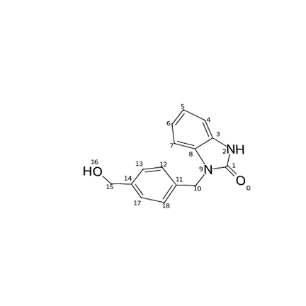 O=c1[nH]c2ccccc2n1Cc1ccc(CO)cc1